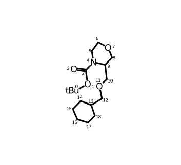 CC(C)(C)OC(=O)N1CCOCC1COCC1CCCCC1